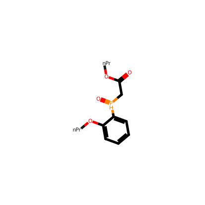 CCCOC(=O)C[PH](=O)c1ccccc1OCCC